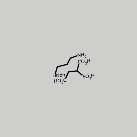 CCCCCCCCCCCCN.O=C(O)CC(C(=O)O)S(=O)(=O)O